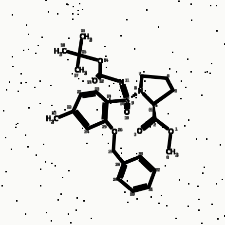 COC(=O)[C@@H]1CCCN1[S@@](=O)(=NC(=O)OC(C)(C)C)c1ccc(C)cc1OCc1ccccc1